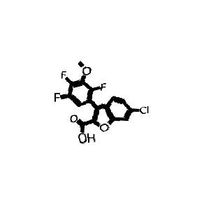 COc1c(F)c(F)cc(-c2c(C(=O)O)oc3cc(Cl)ccc23)c1F